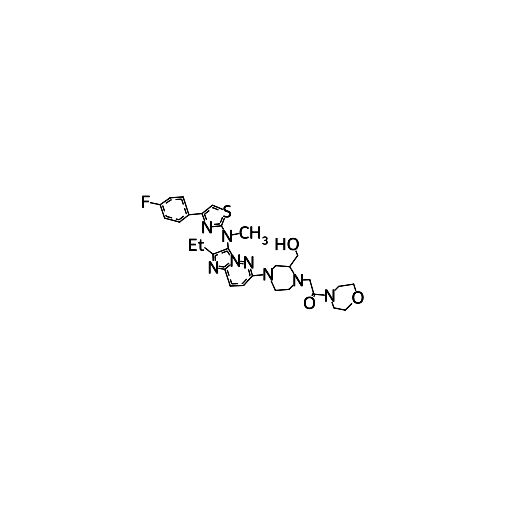 CCc1nc2ccc(N3CCN(CC(=O)N4CCOCC4)C(CO)C3)nn2c1N(C)c1nc(-c2ccc(F)cc2)cs1